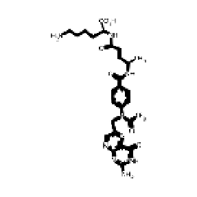 C[C@H](CCC(=O)N[C@@H](CCCCN)C(=O)O)NC(=O)c1ccc(N(Cc2cnc3nc(N)[nH]c(=O)c3n2)C(=O)C(F)(F)F)cc1